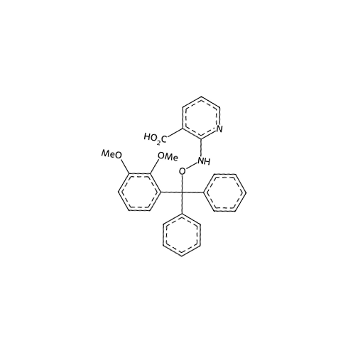 COc1cccc(C(ONc2ncccc2C(=O)O)(c2ccccc2)c2ccccc2)c1OC